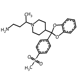 CC(CCN)N1CCC(C2(c3ccc(S(C)(=O)=O)cc3)Oc3ccccc3O2)CC1